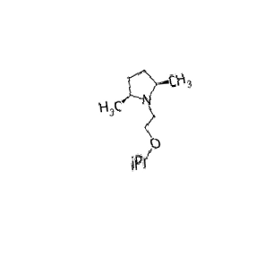 CC(C)OCCN1[C@H](C)CC[C@@H]1C